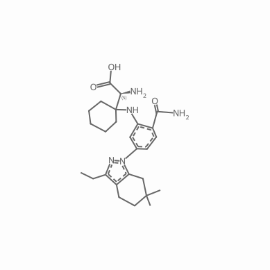 CCc1nn(-c2ccc(C(N)=O)c(NC3([C@H](N)C(=O)O)CCCCC3)c2)c2c1CCC(C)(C)C2